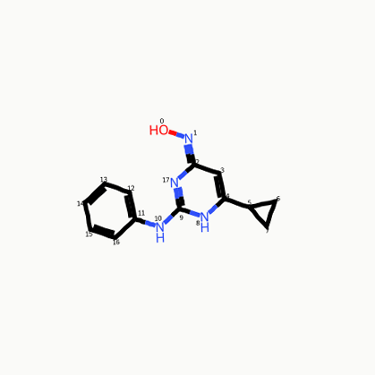 O/N=c1/cc(C2CC2)[nH]c(Nc2ccccc2)n1